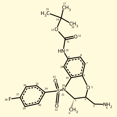 C[C@H]1C(CN)Oc2ccc(NC(=O)OC(C)(C)C)cc2N1S(=O)(=O)c1ccc(F)cc1